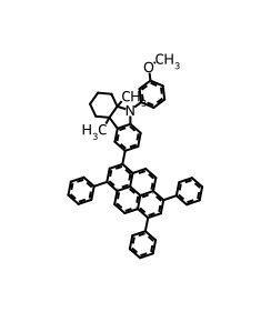 COc1cccc(N2c3ccc(-c4cc(-c5ccccc5)c5ccc6c(-c7ccccc7)cc(-c7ccccc7)c7ccc4c5c67)cc3C3(C)CCCCC23C)c1